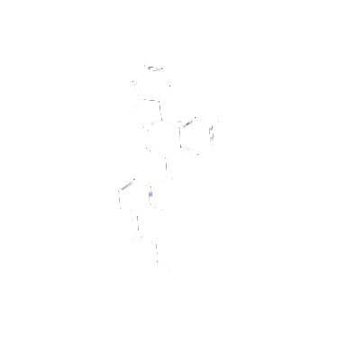 CN(CCO)c1cccc(C[C@H](N)c2ccccc2-c2noc3ccccc23)n1